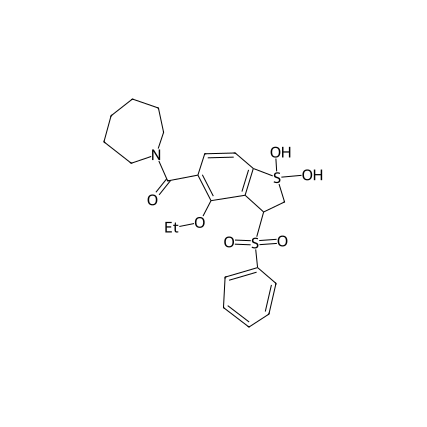 CCOc1c(C(=O)N2CCCCCC2)ccc2c1C(S(=O)(=O)c1ccccc1)CS2(O)O